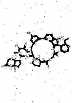 CCn1c(-c2cccnc2[C@H](C)OC)c2c3cc(ccc31)-c1cc(O)cc(c1)C[C@H](NC(=O)[C@H](C(C)C)N(C)C(=O)[C@H]1CC[C@H]3NC(=O)CN[C@@H]13)C(=O)N1CCC[C@H](N1)C(=O)OCC(C)(C)C2